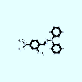 Cc1cc(N(C)C)ccc1/C=N/N(c1ccccc1)c1ccccc1